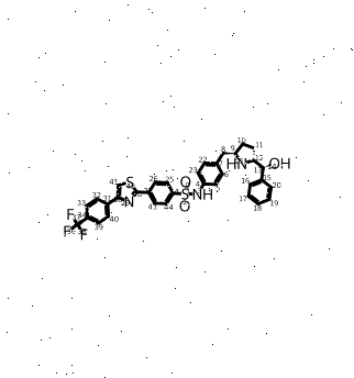 O=S(=O)(Nc1ccc(C[C@H]2CC[C@H]([C@H](O)c3ccccc3)N2)cc1)c1ccc(-c2nc(-c3ccc(C(F)(F)F)cc3)cs2)cc1